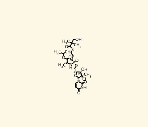 CC(C)OC(=O)[C@H](C)NP(=O)(OCCSC(=O)C(C)(C)CO)OC[C@H]1O[C@@H](n2ccc(=O)[nH]c2=O)[C@](C)(Cl)[C@@H]1O